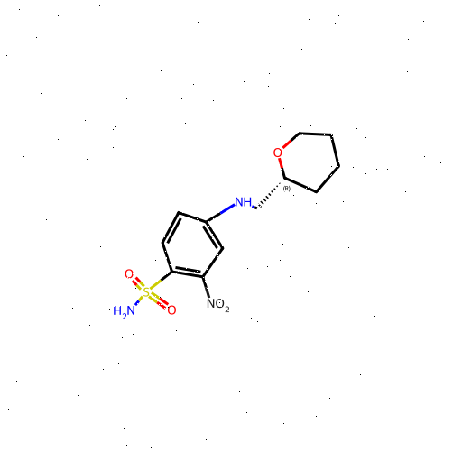 NS(=O)(=O)c1ccc(NC[C@H]2CCCCO2)cc1[N+](=O)[O-]